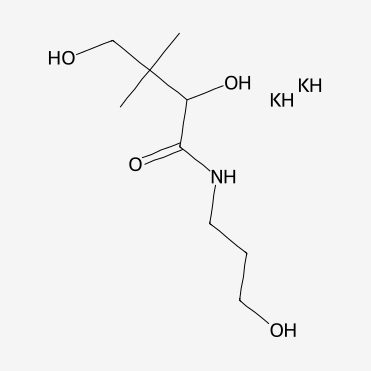 CC(C)(CO)C(O)C(=O)NCCCO.[KH].[KH]